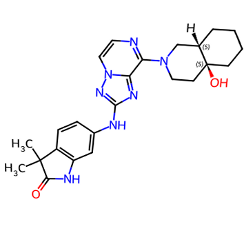 CC1(C)C(=O)Nc2cc(Nc3nc4c(N5CC[C@@]6(O)CCCC[C@H]6C5)nccn4n3)ccc21